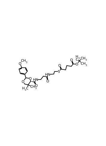 COc1ccc(C2OCC(C)(C)[C@H](C(=O)NCCC(=O)NCCSC(=O)CCCC(=O)OC(C)(C)C)O2)cc1